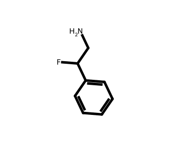 NCC(F)c1ccccc1